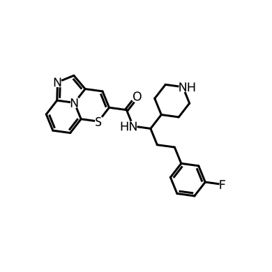 O=C(NC(CCc1cccc(F)c1)C1CCNCC1)C1=Cc2cnc3cccc(n23)S1